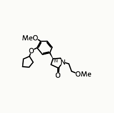 COCCN1C[C@H](c2ccc(OC)c(OC3CCCC3)c2)CC1=O